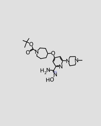 CN1CCN(c2cc(OC3CCCN(C(=O)OC(C)(C)C)CC3)cc(/C(N)=N/O)n2)CC1